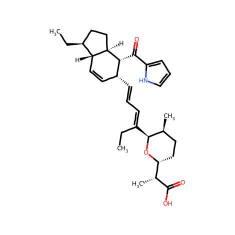 CC/C(=C\C=C\[C@@H]1C=C[C@@H]2[C@@H](CC)CC[C@H]2[C@@H]1C(=O)c1ccc[nH]1)[C@@H]1O[C@@H]([C@@H](C)C(=O)O)CC[C@@H]1C